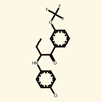 CCC(Nc1ccc(Cl)cc1)C(=O)c1cccc(OC(F)(F)F)c1